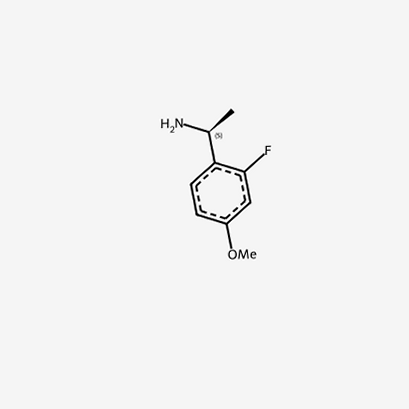 COc1ccc([C@H](C)N)c(F)c1